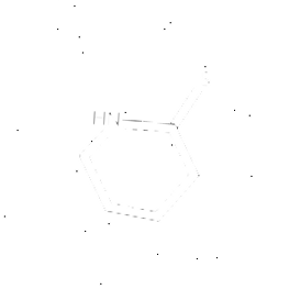 S=c1[c]ccc[nH]1